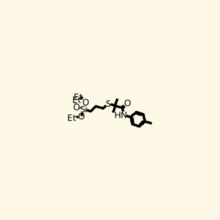 CCO[Si](CCCSC(C)(C)C(=O)Nc1ccc(C)cc1)(OCC)OCC